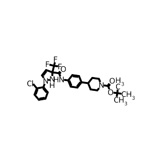 CC(C)(C)OC(=O)N1CCC(c2ccc(NC(=O)C3(C(F)(F)F)C=CN(c4ccccc4Cl)N3)cc2)CC1